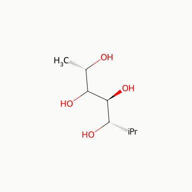 CC(C)[C@H](O)[C@H](O)C(O)[C@H](C)O